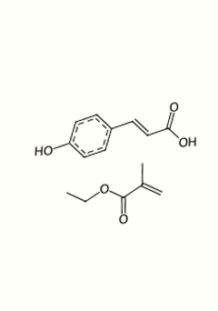 C=C(C)C(=O)OCC.O=C(O)C=Cc1ccc(O)cc1